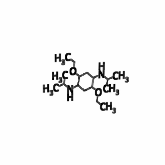 CCOC1CC(NC(C)C)C(OCC)CC1NC(C)C